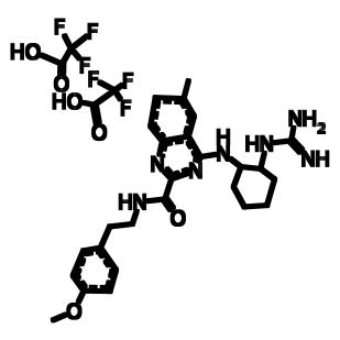 COc1ccc(CCNC(=O)c2nc(NC3CCCCC3NC(=N)N)c3cc(C)ccc3n2)cc1.O=C(O)C(F)(F)F.O=C(O)C(F)(F)F